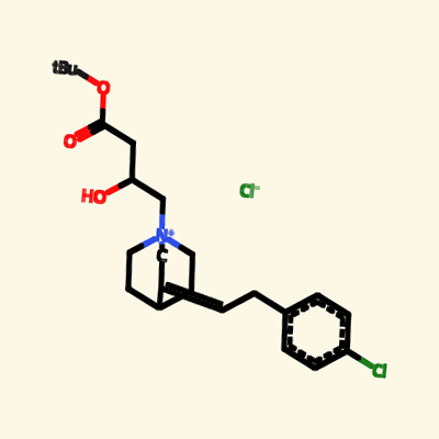 CC(C)(C)OC(=O)CC(O)C[N+]12CCC(CC1)/C(=C/Cc1ccc(Cl)cc1)C2.[Cl-]